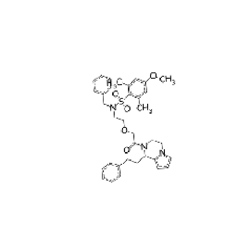 COc1cc(C)c(S(=O)(=O)N(CCOCC(=O)N2CCn3cccc3C2CCc2ccccc2)Cc2ccccc2)c(C)c1